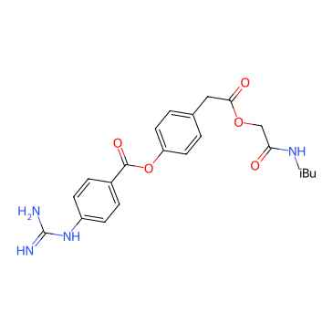 CCC(C)NC(=O)COC(=O)Cc1ccc(OC(=O)c2ccc(NC(=N)N)cc2)cc1